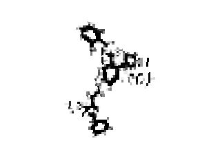 Cc1oc(-c2ccccc2)nc1CCOc1ccc(C2CCN[C@@H]2C(=O)O)c(C(=O)NCc2ccccc2F)c1